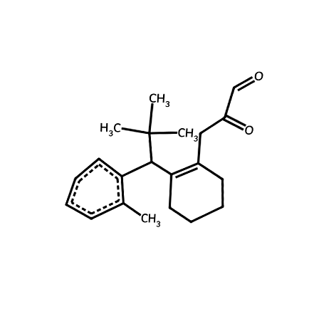 Cc1ccccc1C(C1=C(CC(=O)C=O)CCCC1)C(C)(C)C